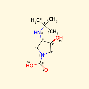 CC(C)(C)N[C@H]1CN(C(=O)O)C[C@@H]1O